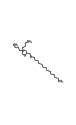 CCCCCCCCCCCCCCOCC1C[N+](CCCC)(CCCC)CO1